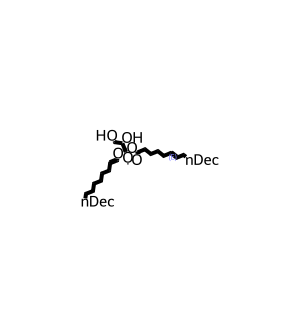 CCCCCCCCCCC/C=C/CCCCC(=O)OC([O])(OC=CCCCCCCCCCCCCCCCC)C(O)CO